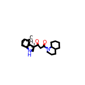 Cc1cccc2[nH]cc(C(=O)CC(=O)N3CCCC4CCCCC43)c12